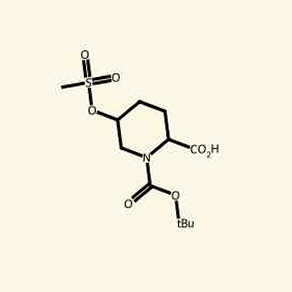 CC(C)(C)OC(=O)N1CC(OS(C)(=O)=O)CCC1C(=O)O